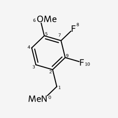 CNCc1ccc(OC)c(F)c1F